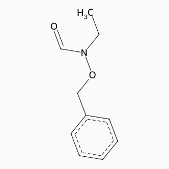 CCN(C=O)OCc1ccccc1